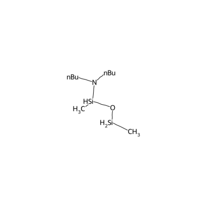 CCCCN(CCCC)[SiH](C)O[SiH2]C